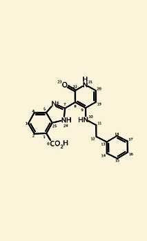 O=C(O)c1cccc2nc(-c3c(NCCc4ccccc4)cc[nH]c3=O)[nH]c12